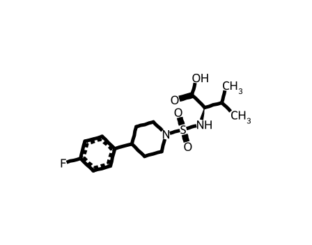 CC(C)[C@@H](NS(=O)(=O)N1CCC(c2ccc(F)cc2)CC1)C(=O)O